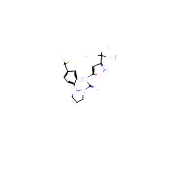 CC(C)(C)c1cc(NC(=N)N2CCCN2c2ccc(C(F)(F)F)cc2)on1